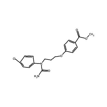 COC(=O)c1ccc(OCCCN(C(N)=O)c2ccc(Cl)cc2)cc1